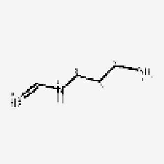 B=CNCCCN